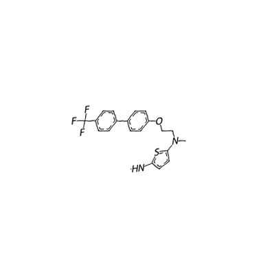 CN(CCOc1ccc(-c2ccc(C(F)(F)F)cc2)cc1)c1ccc([NH])s1